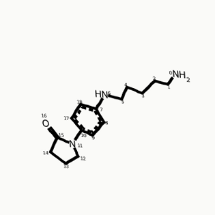 NCCCCCNc1ccc(N2CCCC2=O)cc1